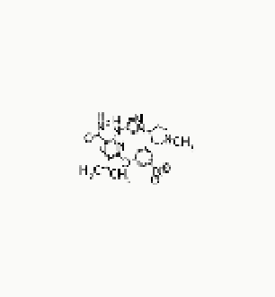 C=C(C)c1nc(C(N)=O)c(Nc2cnn(C3CCN(C)CC3)c2)nc1Oc1cccc([N+](=O)[O-])c1